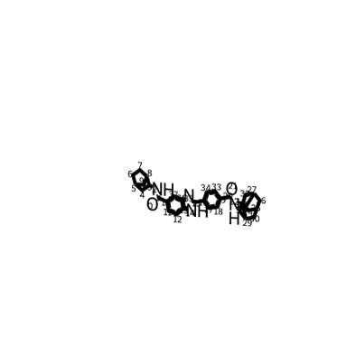 O=C(NC1CC2CCC1C2)c1ccc2[nH]c(-c3ccc(C(=O)NC45CC6CC(CC(C6)C4)C5)cc3)nc2c1